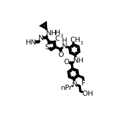 CCCN(CCO)c1ccc(C(=O)Nc2ccc(C)c(NC(=O)c3csc(/C(=N\C=N)NC4CC4)c3C)c2)cc1CF